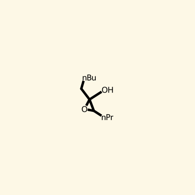 CCCCCC1(O)OC1CCC